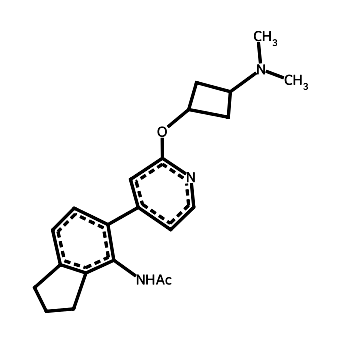 CC(=O)Nc1c(-c2ccnc(OC3CC(N(C)C)C3)c2)ccc2c1CCC2